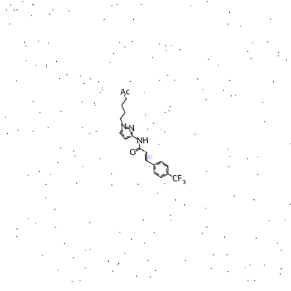 CC(=O)CCCCn1ccc(NC(=O)/C=C/c2ccc(C(F)(F)F)cc2)n1